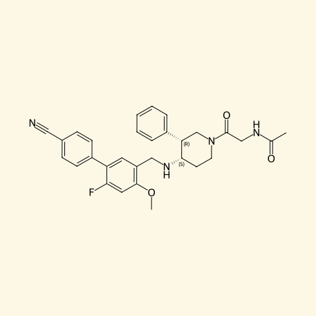 COc1cc(F)c(-c2ccc(C#N)cc2)cc1CN[C@H]1CCN(C(=O)CNC(C)=O)C[C@H]1c1ccccc1